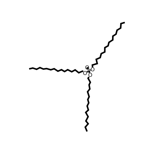 CCCCCCCCCCCCCCCCOP(=O)(OCCCCCCCCCCCCCCCC)OCCCCCCCCCCCCCCCC